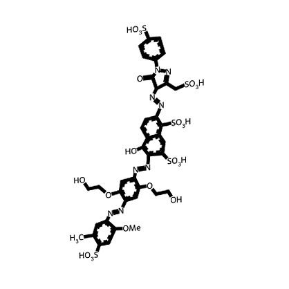 COc1cc(S(=O)(=O)O)c(C)cc1/N=N/c1cc(OCCO)c(/N=N/c2c(S(=O)(=O)O)cc3c(S(=O)(=O)O)c(/N=N/C4C(=O)N(c5ccc(S(=O)(=O)O)cc5)N=C4CS(=O)(=O)O)ccc3c2O)cc1OCCO